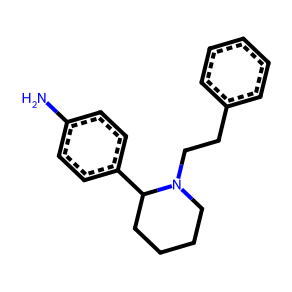 Nc1ccc(C2CCCCN2CCc2ccccc2)cc1